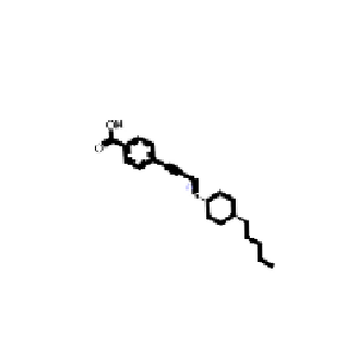 CCCCC[C@H]1CC[C@H](/C=C/C#Cc2ccc(C(=O)O)cc2)CC1